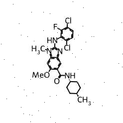 COc1cc2c(cc1C(=O)N[C@H]1CC[C@H](C)CC1)nc(Nc1c(Cl)ccc(Cl)c1F)n2C